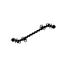 CC(C)(N=NC1CCC1)SCCOC(=O)CCCCCCCCCCCCCCC(=O)OCCSC(C)(C)N=NC1CCC1